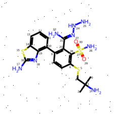 CC(C)(N)CSc1ccc(-c2cccc3sc(N)nc23)c(/C(N)=N/NN)c1S(N)(=O)=O